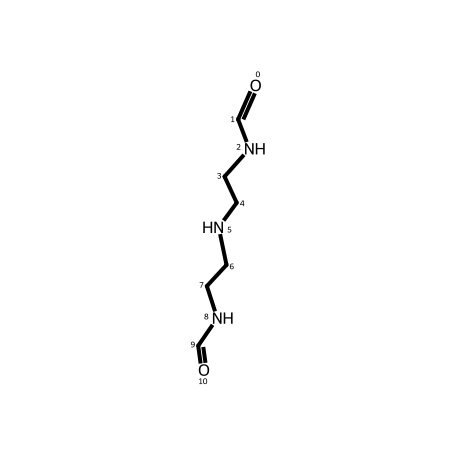 O=CNCCNCCNC=O